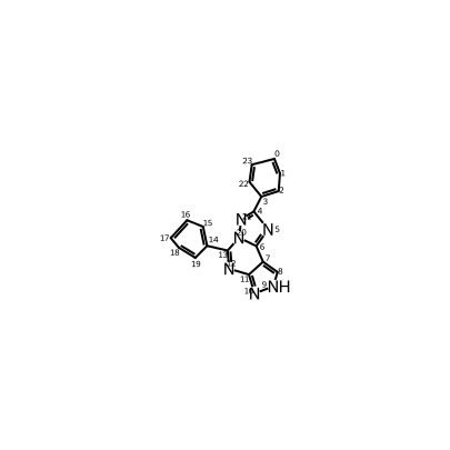 c1ccc(-c2nc3c4c[nH]nc4nc(-c4ccccc4)n3n2)cc1